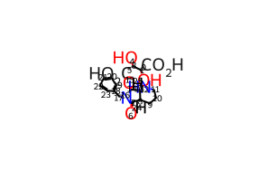 O=C(O)C(O)C(O)C(=O)O.O=C1[C@H]2CCCN[C@H]2C(=O)N1Cc1ccccc1